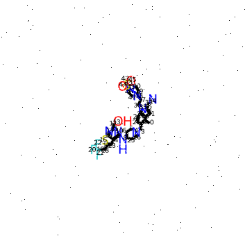 Cc1c(CN2CCC(Nc3nc(CO)nc4sc(CC(F)(F)F)cc34)CC2)ccc2c1cc(C#N)n2CCN1CCN(S(C)(=O)=O)CC1